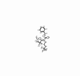 C[SiH](C)OC(N(CCCC(F)(F)F)C(=O)OCc1ccccc1)C(C)(C)C